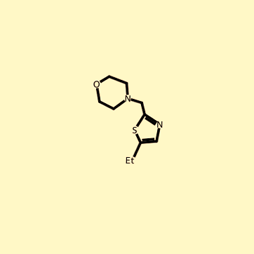 CCc1cnc(CN2CCOCC2)s1